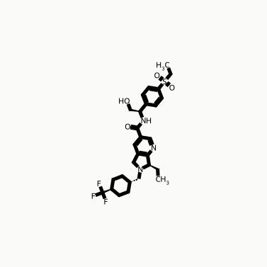 CC[C@@H]1c2ncc(C(=O)N[C@@H](CO)c3ccc(S(=O)(=O)CC)cc3)cc2CN1C[C@H]1CC[C@H](C(F)(F)F)CC1